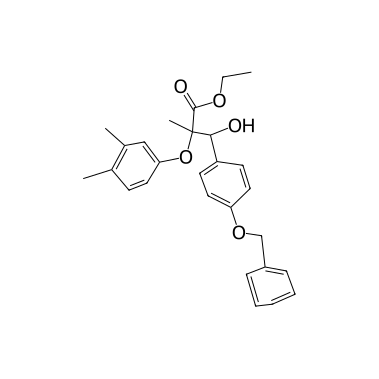 CCOC(=O)C(C)(Oc1ccc(C)c(C)c1)C(O)c1ccc(OCc2ccccc2)cc1